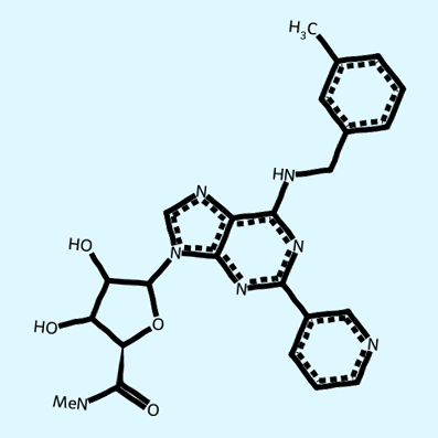 CNC(=O)[C@@H]1OC(n2cnc3c(NCc4cccc(C)c4)nc(-c4cccnc4)nc32)C(O)C1O